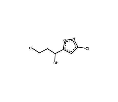 OC(CCCl)c1cc(Cl)no1